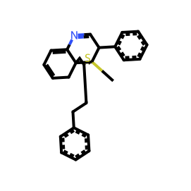 CS1=C2C(c3ccccc3)C=NC3=CC=CCC32CC1CCc1ccccc1